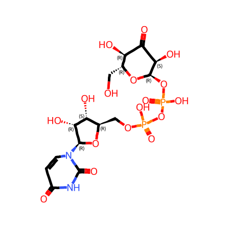 O=C1[C@@H](O)[C@@H](OP(=O)(O)OP(=O)(O)OC[C@H]2O[C@@H](n3ccc(=O)[nH]c3=O)[C@H](O)[C@@H]2O)O[C@H](CO)[C@H]1O